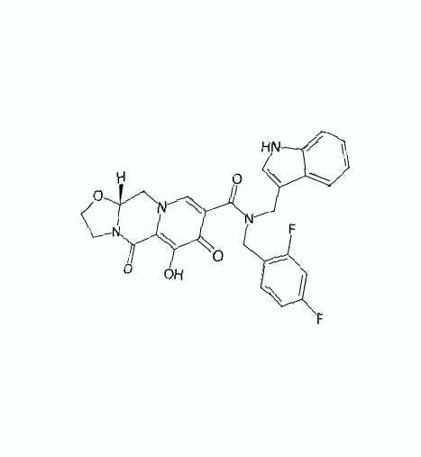 O=C(c1cn2c(c(O)c1=O)C(=O)N1CCO[C@@H]1C2)N(Cc1ccc(F)cc1F)Cc1c[nH]c2ccccc12